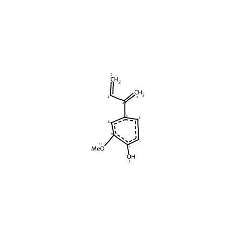 C=CC(=C)c1ccc(O)c(OC)c1